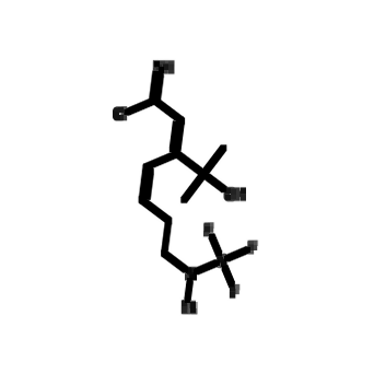 CCN(CC/C=C\C(=C/C(=N)Cl)C(C)(C)O)S(F)(F)F